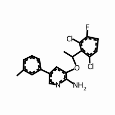 Cc1cccc(-c2cnc(N)c(OC(C)c3c(Cl)ccc(F)c3Cl)c2)c1